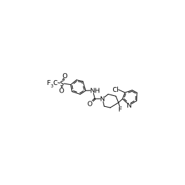 O=C(Nc1ccc(S(=O)(=O)C(F)(F)F)cc1)N1CCC(F)(c2ncccc2Cl)CC1